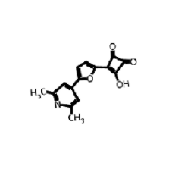 Cc1cc(-c2ccc(-c3c(O)c(=O)c3=O)o2)cc(C)n1